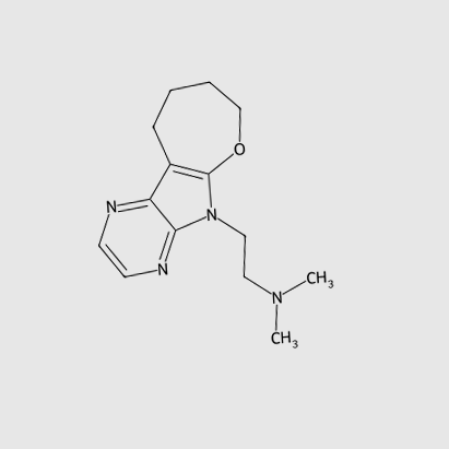 CN(C)CCn1c2c(c3nccnc31)CCCCO2